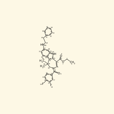 CCOC(=O)C1=CN(C(=O)c2ccc(F)c(F)c2)CC(C)(C)c2c1[nH]c1cc(NCCc3ccccc3)ccc21